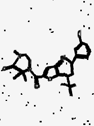 CN1CCN(C(=O)c2cc3nc(-c4cccc(Cl)c4)cc(C(C)(C)C)c3o2)C(C)(C)C1=O